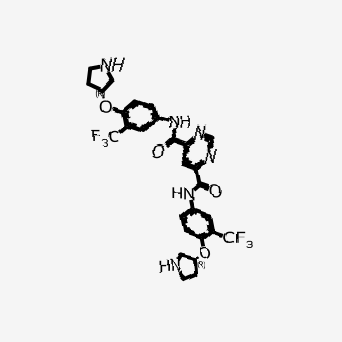 O=C(Nc1ccc(O[C@@H]2CCNC2)c(C(F)(F)F)c1)c1cc(C(=O)Nc2ccc(O[C@@H]3CCNC3)c(C(F)(F)F)c2)ncn1